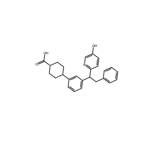 O=C(O)N1CCC(c2cccc(C(Cc3ccccc3)c3ccc(O)cn3)c2)CC1